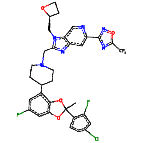 CC1(c2ccc(Cl)cc2F)Oc2cc(F)cc(C3CCN(Cc4nc5cc(-c6noc(C(F)(F)F)n6)ncc5n4C[C@@H]4CCO4)CC3)c2O1